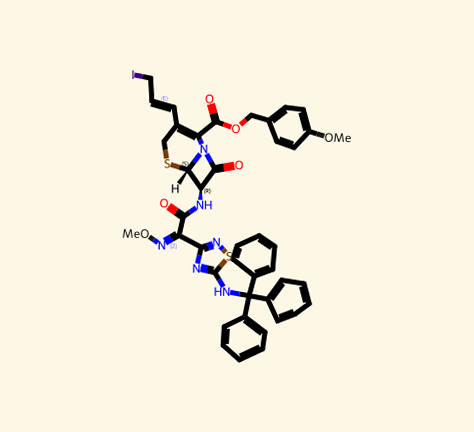 CO/N=C(\C(=O)N[C@@H]1C(=O)N2C(C(=O)OCc3ccc(OC)cc3)=C(/C=C/CI)CS[C@@H]12)c1nsc(NC(c2ccccc2)(c2ccccc2)c2ccccc2)n1